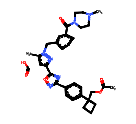 CC(=O)OCC1(c2ccc(-c3noc(-c4cc(C)n(Cc5cccc(C(=O)N6CCN(C)CC6)c5)n4)n3)cc2)CCC1.O=CO